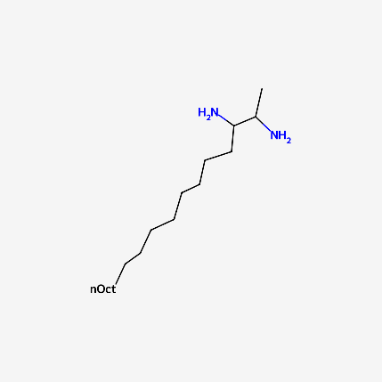 CCCCCCCCCCCCCCCCC(N)C(C)N